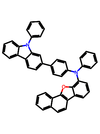 c1ccc(N(c2ccc(-c3ccc4c5ccccc5n(-c5ccccc5)c4c3)cc2)c2cccc3c2oc2c4ccccc4ccc32)cc1